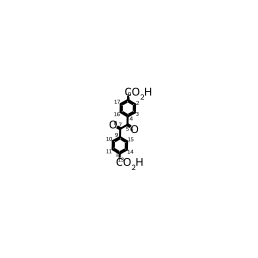 O=C(O)c1ccc(C(=O)C(=O)c2ccc(C(=O)O)cc2)cc1